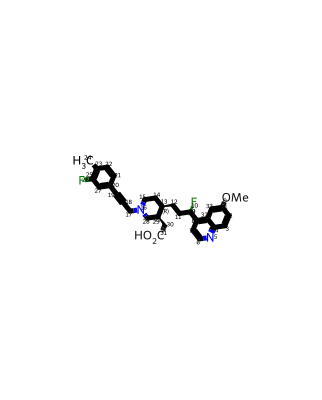 COc1ccc2nccc([C@H](F)CC[C@@H]3CCN(CC#Cc4ccc(C)c(F)c4)C[C@@H]3CC(=O)O)c2c1